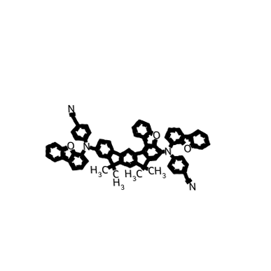 CC1(C)c2cc(N(c3ccc(C#N)cc3)c3cccc4c3oc3ccccc34)ccc2-c2cc3c(cc21)C(C)(C)c1cc(N(c2ccc(C#N)cc2)c2cccc4c2oc2ccccc24)c2oc4ccccc4c2c1-3